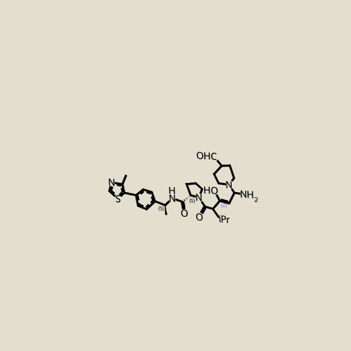 Cc1ncsc1-c1ccc([C@H](C)NC(=O)[C@@H]2CCCN2C(=O)C(/C(O)=C/C(N)N2CCC(C=O)CC2)C(C)C)cc1